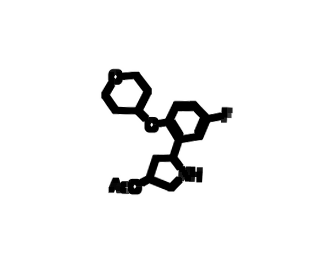 CC(=O)OC1CNC(c2cc(F)ccc2OC2CCOCC2)C1